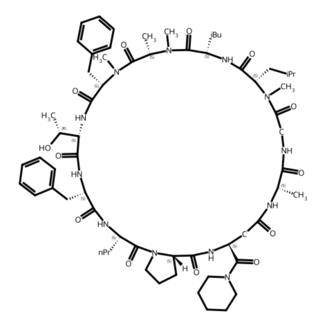 CCC[C@@H]1NC(=O)[C@H](Cc2ccccc2)NC(=O)[C@H]([C@@H](C)O)NC(=O)[C@H](Cc2ccccc2)N(C)C(=O)[C@H](C)N(C)C(=O)[C@H](C(C)CC)NC(=O)[C@H](CC(C)C)N(C)C(=O)CNC(=O)[C@H](C)NC(=O)C[C@@H](C(=O)N2CCCCC2)NC(=O)[C@@H]2CCCN2C1=O